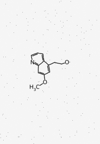 COc1cc(CC[O])c2cccnc2c1